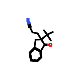 CC(C)(C)C1(CCC#N)Cc2ccccc2C1=O